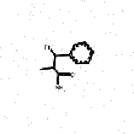 CCC(c1ccccc1)C(C)C(N)=O